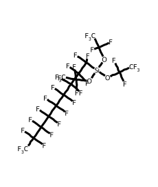 FC(F)(F)C(F)(F)O[Si](OC(F)(F)C(F)(F)F)(OC(F)(F)C(F)(F)F)C(F)(F)C(F)(F)C(F)(F)C(F)(F)C(F)(F)C(F)(F)C(F)(F)C(F)(F)C(F)(F)F